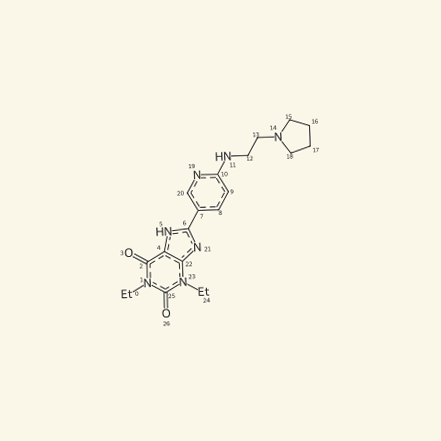 CCn1c(=O)c2[nH]c(-c3ccc(NCCN4CCCC4)nc3)nc2n(CC)c1=O